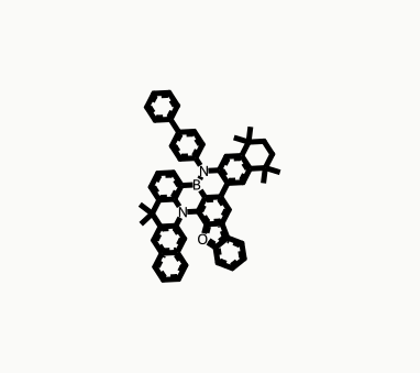 CC1(C)CCC(C)(C)c2cc3c(cc21)-c1cc2c(oc4ccccc42)c2c1B(c1cccc4c1N2c1cc2ccccc2cc1C4(C)C)N3c1ccc(-c2ccccc2)cc1